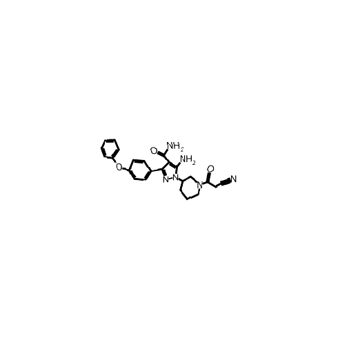 N#CCC(=O)N1CCCC(n2nc(-c3ccc(Oc4ccccc4)cc3)c(C(N)=O)c2N)C1